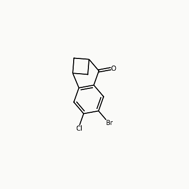 O=C1c2cc(Br)c(Cl)cc2C2CC1C2